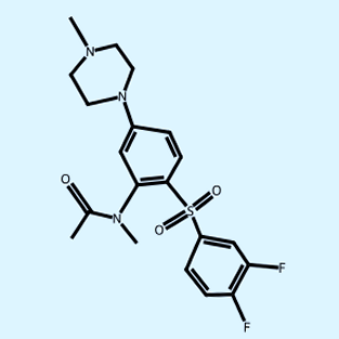 CC(=O)N(C)c1cc(N2CCN(C)CC2)ccc1S(=O)(=O)c1ccc(F)c(F)c1